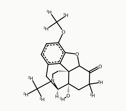 [2H]O[C@@]12CC([2H])([2H])C(=O)C3Oc4c(OC([2H])([2H])[2H])ccc5c4[C@@]31CCN(C([2H])([2H])[2H])[C@@H]2C5